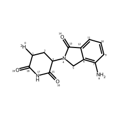 [2H]C1CC(N2Cc3c(N)cccc3C2=O)C(=O)NC1=O